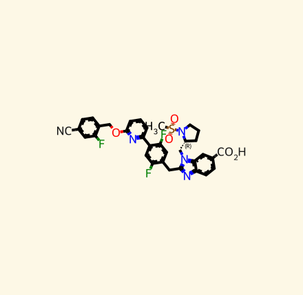 CS(=O)(=O)N1CCC[C@@H]1Cn1c(Cc2cc(F)c(-c3cccc(OCc4ccc(C#N)cc4F)n3)cc2F)nc2ccc(C(=O)O)cc21